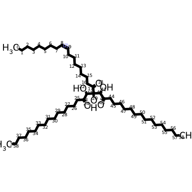 CCCCCCCC/C=C\CCCCCCCC(=O)C(O)(C(O)C(=O)CCCCCCCCCCCCCCC)C(O)C(=O)CCCCCCCCCCCCCCC